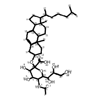 CC(=O)NC1C(O)C(O)C(OC2CCC3(C)C(=CCC4C3CCC3(C)C(C(C)CCCC(C)C)CCC43)C2)(C(=O)O)OC1C(O)C(O)CO